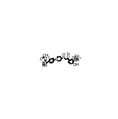 CC(=O)On1nnnc1-c1ccc(N2CCC(NC[C@H](O)c3ccc(O)c(NS(C)(=O)=O)c3)CC2)cc1